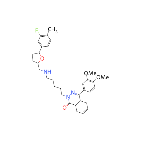 COc1ccc(C2=NN(CCCCCNCC3CCC(c4ccc(C)c(F)c4)O3)C(=O)C3CC=CCC23)cc1OC